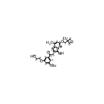 CCC1(COc2cc(C)c3nn(CC(=O)c4cc(OCCO)cc(C(C)(C)C)c4)c(=N)n3n2)COC1